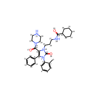 Cc1ccccc1-n1c(-c2ccccc2)c(C(=O)N2CCNCC2)n(CCCNC(=O)C2CCCCC2)c1=O